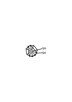 S[C]12[CH]3[CH]4[CH]5[CH]1[Ru]45321678[CH]2[CH]1[CH]6[C]7(S)[CH]28